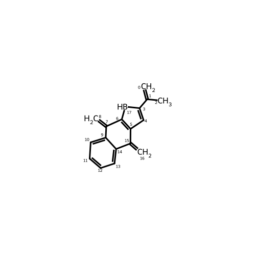 C=C(C)C1=Cc2c(c(=C)c3ccccc3c2=C)B1